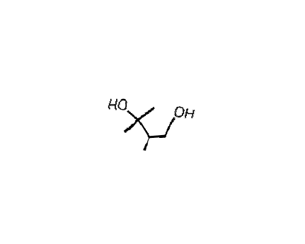 C[C@H](CO)C(C)(C)O